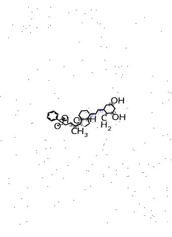 C=C1/C(=C\C=C2/CCC[C@]3(C)[C@@H]([C@H](C)CCS(=O)(=O)c4ccccc4)CC[C@@H]23)C[C@@H](O)C[C@@H]1O